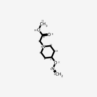 C=NOC1CCN(CC(=O)OC)CC1